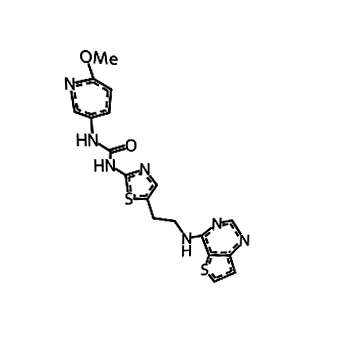 COc1ccc(NC(=O)Nc2ncc(CCNc3ncnc4ccsc34)s2)cn1